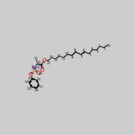 CCCCCCCCCCCCCCCCOC(=O)[C@H](C)N[PH](=O)Oc1ccccc1